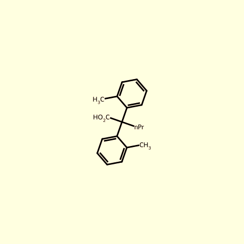 CCCC(C(=O)O)(c1ccccc1C)c1ccccc1C